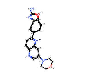 Nc1nc2cc(-c3ccc4ncc(N5CCOCC5)cc4n3)ccc2o1